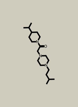 CC(C)CCN1CCN(CC(=O)N2CCC(C(C)C)CC2)CC1